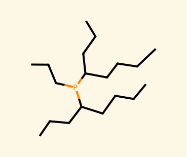 CCCCC(CCC)P(CCC)C(CCC)CCCC